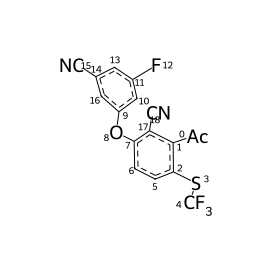 CC(=O)c1c(SC(F)(F)F)ccc(Oc2cc(F)cc(C#N)c2)c1C#N